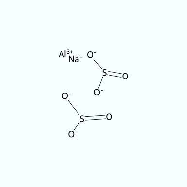 O=S([O-])[O-].O=S([O-])[O-].[Al+3].[Na+]